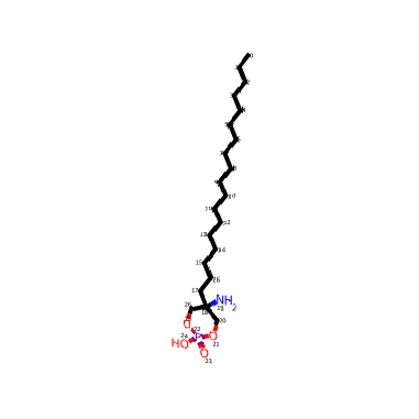 CCCCCCCCCCCCCCCCCCC1(N)COP(=O)(O)OC1